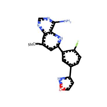 COc1cc(-c2cc(-c3ccon3)ccc2F)nc2c(N)ncnc12